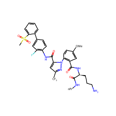 CCCNC(=O)[C@H](CCCN)NC(=O)c1cc(OC)ccc1-n1nc(C(F)(F)F)cc1C(=O)Nc1ccc(-c2ccccc2S(C)(=O)=O)cc1F